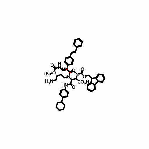 CC(C)(C)OC(=O)NCCCCN(C(=O)OCC1c2ccccc2-c2ccccc21)C(C(=O)O)C(C(=O)Nc1ccc(C2CCCCC2)cc1)N(CCCCN)C(=O)Nc1ccc(C=Cc2ccccc2)cc1